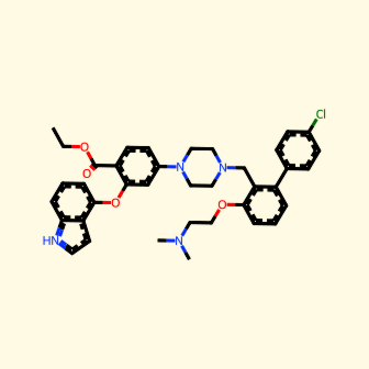 CCOC(=O)c1ccc(N2CCN(Cc3c(OCCN(C)C)cccc3-c3ccc(Cl)cc3)CC2)cc1Oc1cccc2[nH]ccc12